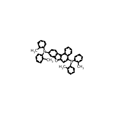 Cc1ccccc1N(c1ccc2c(c1)oc1cc(N(c3ccccc3C)c3ccccc3C)c3ccccc3c12)c1ccccc1C